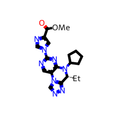 CC[C@@H]1c2nncn2-c2cnc(-n3cnc(C(=O)OC)c3)nc2N1C1CCCC1